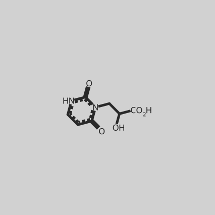 O=C(O)C(O)Cn1c(=O)cc[nH]c1=O